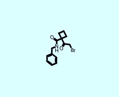 O=C(CBr)C1(C(=O)NCc2ccccc2)CCC1